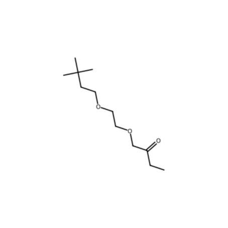 CCC(=O)COCCOCCC(C)(C)C